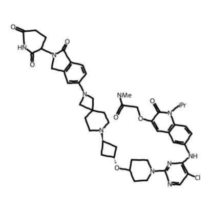 CNC(=O)COc1cc2cc(Nc3nc(N4CCC(O[C@H]5C[C@H](N6CCC7(CC6)CN(c6ccc8c(c6)CN(C6CCC(=O)NC6=O)C8=O)C7)C5)CC4)ncc3Cl)ccc2n(C(C)C)c1=O